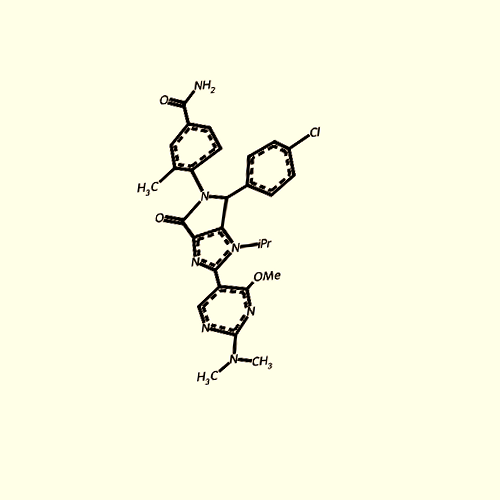 COc1nc(N(C)C)ncc1-c1nc2c(n1C(C)C)C(c1ccc(Cl)cc1)N(c1ccc(C(N)=O)cc1C)C2=O